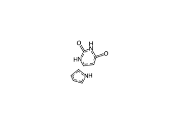 O=c1cc[nH]c(=O)[nH]1.c1cc[nH]c1